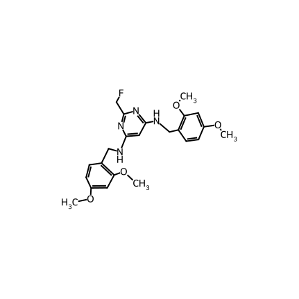 COc1ccc(CNc2cc(NCc3ccc(OC)cc3OC)nc(CF)n2)c(OC)c1